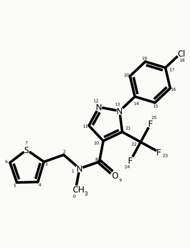 CN(Cc1cccs1)C(=O)c1cnn(-c2ccc(Cl)cc2)c1C(F)(F)F